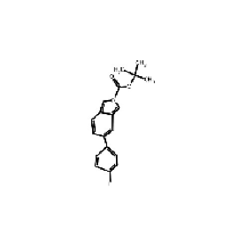 CC(C)(C)OC(=O)n1cc2ccc(-c3ccc(F)cc3)cc2c1